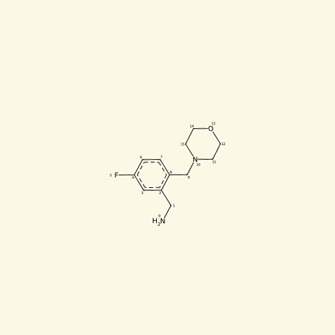 NCc1cc(F)ccc1CN1CCOCC1